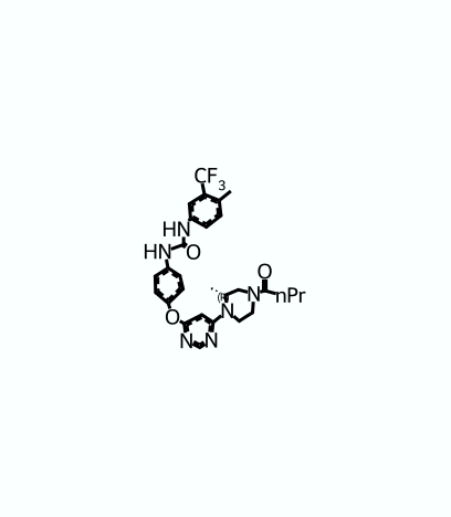 CCCC(=O)N1CCN(c2cc(Oc3ccc(NC(=O)Nc4ccc(C)c(C(F)(F)F)c4)cc3)ncn2)[C@H](C)C1